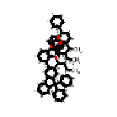 CCC(C)C(/N=C(/c1ccccc1)C(CC)C(C)c1ccc(-c2ccccc2)cc1)c1cc2c(cc1-c1cccc3c1sc1ccccc13)-c1ccccc1C2(c1ccccc1)c1ccccc1